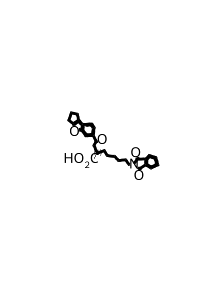 O=C(C[C@H](CCCCCCN1C(=O)c2ccccc2C1=O)C(=O)O)c1ccc2c3c(oc2c1)CCC3